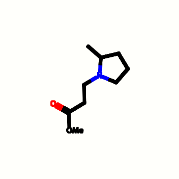 COC(=O)CCN1CCCC1C